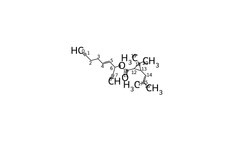 C#CCCC=CC(C#C)OC(=O)C1C(C=C(C)C)C1(C)C